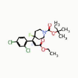 CCOC(=O)/C=C(/c1ccc(Cl)cc1Cl)C1(F)CCN(C(=O)OC(C)(C)C)CC1